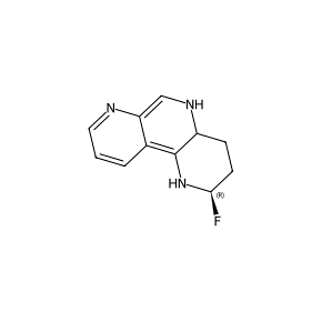 F[C@@H]1CCC2NC=c3ncccc3=C2N1